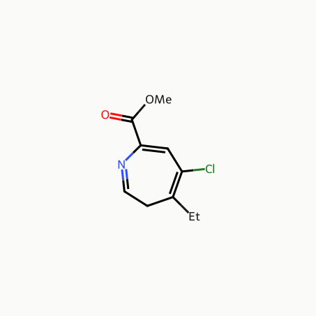 CCC1=C(Cl)C=C(C(=O)OC)N=CC1